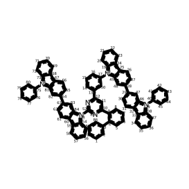 c1ccc(-c2ccccc2-c2cc(-c3cccc(-n4c5ccccc5c5ccc(-c6ccc7c8ccccc8n(-c8ccccc8)c7c6)cc54)c3)nc(-n3c4ccccc4c4ccc(-c5ccc6c7ccccc7n(-c7ccccc7)c6c5)cc43)n2)cc1